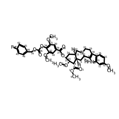 COC(=O)[C@H]1[C@H]2C[C@@H]3c4[nH]c5cc(OC)ccc5c4CCN3C[C@H]2C[C@@H](OC(=O)c2cc(OC)c(OC(=O)OCc3ccc(F)cc3)c(OC)c2)[C@@H]1OC